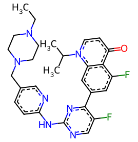 CCN1CCN(Cc2ccc(Nc3ncc(F)c(-c4cc(F)c5c(=O)ccn(C(C)C)c5c4)n3)nc2)CC1